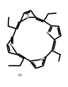 CCc1c2nc(c(CC)c3ccc([nH]3)c(CC)c3nc(c(CC)c4ccc1[nH]4)C=C3)C=C2.[Pt]